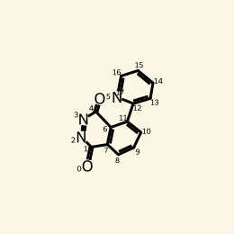 O=C1N=NC(=O)c2c1cccc2-c1ccccn1